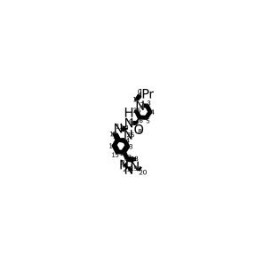 CC(C)CN1CCC[C@@H](C(=O)Nc2ncc3ccc(-c4cn(C)nn4)cc3n2)C1